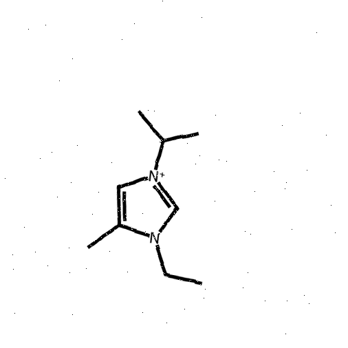 CCn1c[n+](C(C)C)cc1C